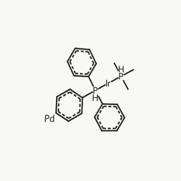 C[PH](C)(C)[Ir][PH](c1ccccc1)(c1ccccc1)c1ccccc1.[Pd]